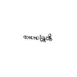 Cn1c(-c2ccc(S(C)(=O)=O)cc2)nc2c(F)c(C3CCN(C4CCN(C5CCOCC5)CC4)CC3)ccc21